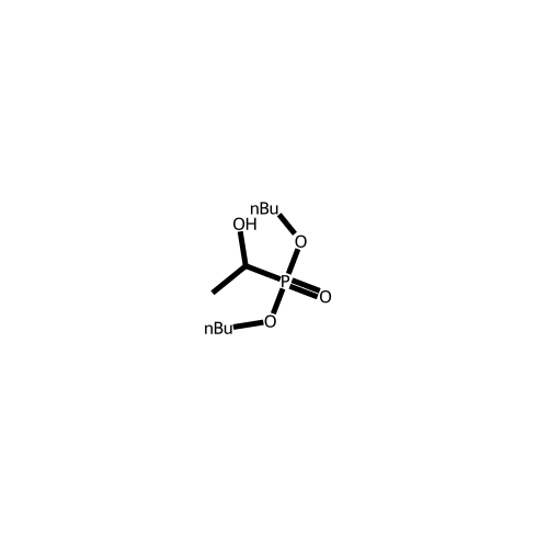 CCCCOP(=O)(OCCCC)C(C)O